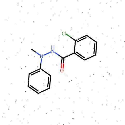 CN(NC(=O)c1ccccc1Cl)c1ccccc1